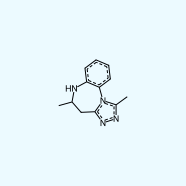 Cc1nnc2n1-c1ccccc1NC(C)C2